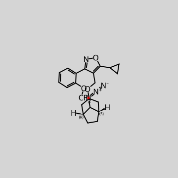 [N-]=[N+]=NC1[C@@H]2CC[C@H]1CC(OCc1c(-c3ccccc3OC(F)(F)F)noc1C1CC1)C2